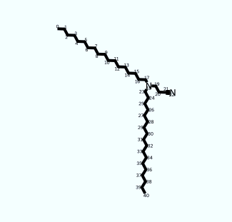 CCCCCCCCCCCCCCCCCCN(CCC#N)CCCCCCCCCCCCCCCCCC